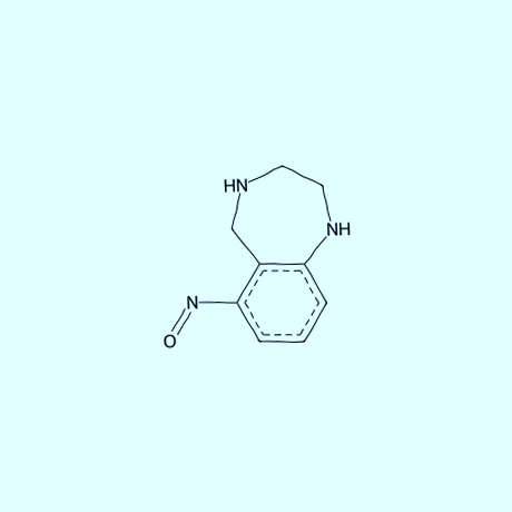 O=Nc1cccc2c1CNCCN2